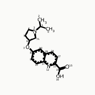 CC(C)N1CCC(Oc2ccc3nc(C(=O)O)ccc3c2)C1